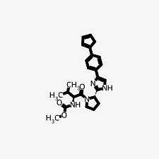 COC(=O)N[C@H](C(=O)N1CCC[C@H]1c1nc(-c2ccc(C3=CC=CC3)cc2)c[nH]1)C(C)C